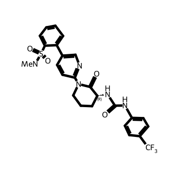 CNS(=O)(=O)c1ccccc1-c1ccc(N2CCC[C@@H](NC(=O)Nc3ccc(C(F)(F)F)cc3)C2=O)nc1